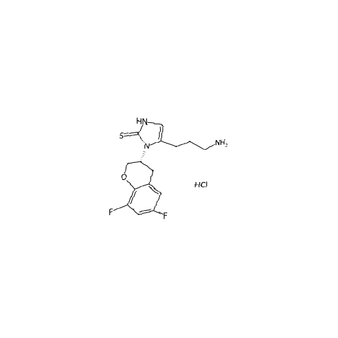 Cl.NCCCc1c[nH]c(=S)n1[C@H]1COc2c(F)cc(F)cc2C1